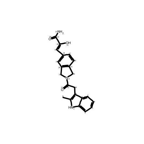 Cc1[nH]c2ccccc2c1CC(=O)N1Cc2ccc(C=C(O)C(N)=O)cc2C1